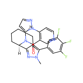 Cn1nc2c(c1-c1cc(F)c(F)c(F)c1)C[C@@H]1CCC[C@H]2N1C(=O)c1cnccc1-n1cccn1